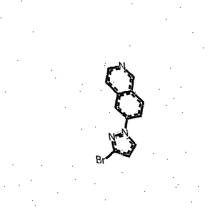 Brc1ccn(-c2ccc3cnccc3c2)n1